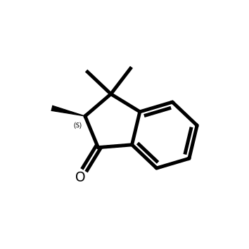 C[C@@H]1C(=O)c2ccccc2C1(C)C